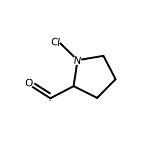 O=[C]C1CCCN1Cl